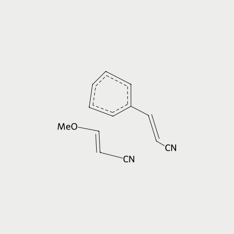 COC=CC#N.N#CC=Cc1ccccc1